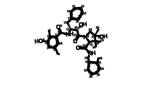 Cc1cc(O)c(C)c(C(=O)N[C@@H](Cc2ccccc2)[C@H](O)C(=O)N2C[C@](C)(O)C(C)(C)C2C(=O)NCc2ccccc2C)c1